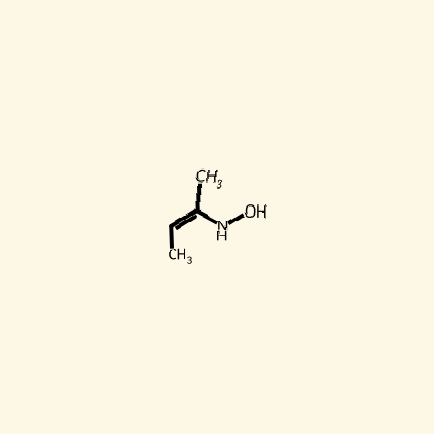 CC=C(C)NO